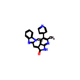 Cc1nc2c(cc1-c1ccncc1)C(=Cc1nc3ccccc3n1C)C(=O)N2